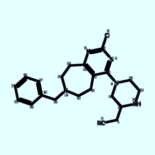 N#CCC1CN(c2nc(Cl)nc3c2CCN(Cc2ccccc2)CC3)CCN1